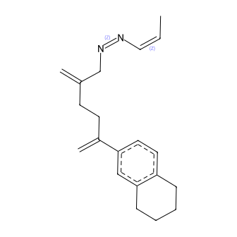 C=C(CCC(=C)c1ccc2c(c1)CCCC2)C/N=N\C=C/C